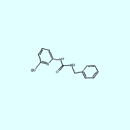 CC(C)(C)c1cccc(NC(=O)NCc2ccccc2)n1